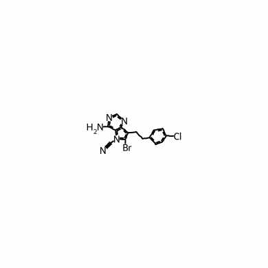 N#Cn1c(Br)c(CCc2ccc(Cl)cc2)c2ncnc(N)c21